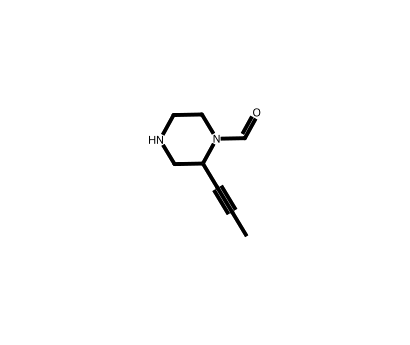 CC#CC1CNCCN1C=O